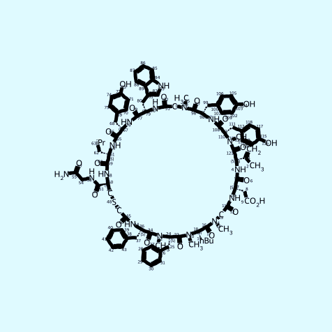 C=C(C)[C@@H]1NC(=O)[C@H](CC(=O)O)NC(=O)CN(C)C(=O)[C@H](CCCC)N(C)C(=O)[C@H](Cc2ccccc2)N(C)C(=O)[C@H](Cc2ccccc2)NC(=O)CSC[C@@H](C(=O)NCC(N)=O)NC(=O)[C@H](CC(C)C)NC(=O)[C@H](Cc2ccc(O)cc2)NC(=O)[C@H](Cc2c[nH]c3ccccc23)NC(=O)CN(C)C(=O)[C@H](Cc2ccc(O)cc2)NC(=O)[C@H](Cc2ccc(O)cc2)N(C)C1=O